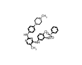 Cc1cnc(Nc2ccc(N3CCN(C)CC3)cc2)nc1Nc1ccc(Cl)c(NS(=O)(=O)c2ccccc2)c1